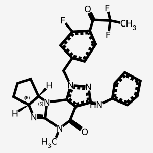 CN1C(=O)c2c(Nc3ccccc3)nn(Cc3ccc(C(=O)C(C)(F)F)c(F)c3)c2N2C1=N[C@@H]1CCC[C@@H]12